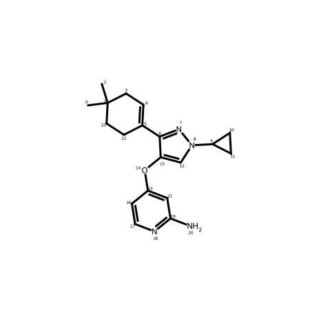 CC1(C)CC=C(c2nn(C3CC3)cc2Oc2ccnc(N)c2)CC1